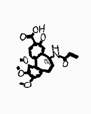 C=CC(=O)N[C@H]1CCc2cc(OC)c(OC)c(OC)c2-c2ccc(C(=O)O)c(=O)cc21